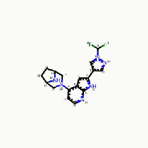 FC(F)n1cc(-c2cc3c(N4CC5CCC(C4)N5)ccnc3[nH]2)cn1